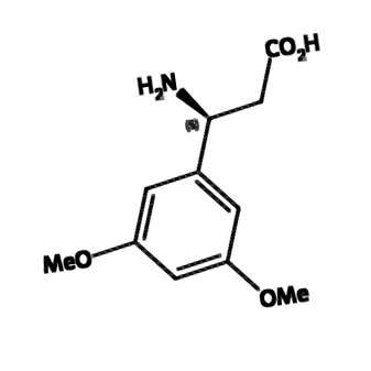 COc1cc(OC)cc([C@@H](N)CC(=O)O)c1